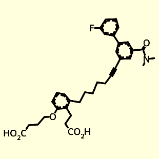 CN(C)C(=O)c1cc(C#CCCCCCc2cccc(OCCCC(=O)O)c2CCC(=O)O)cc(-c2cccc(F)c2)c1